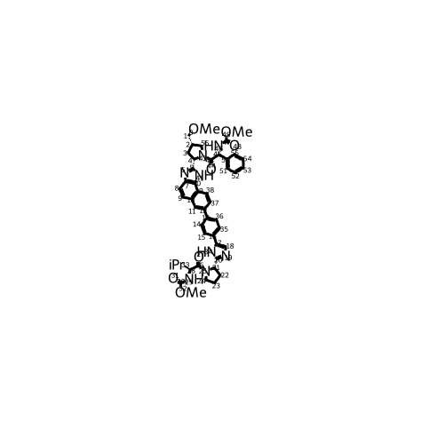 COC[C@H]1C[C@@H](c2nc3ccc4cc(-c5ccc(-c6cnc([C@@H]7CCCN7C(=O)[C@@H](NC(=O)OC)C(C)C)[nH]6)cc5)ccc4c3[nH]2)N(C(=O)[C@H](NC(=O)OC)c2ccccc2)C1